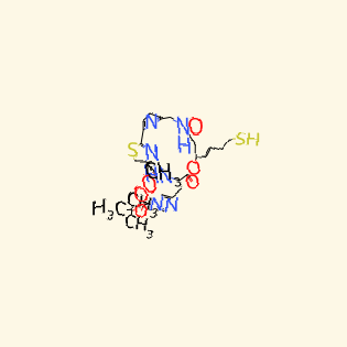 CC(C)(C)OC(=O)n1cnc(C[C@@H]2NC(=O)[C@]3(C)CSC(=N3)C3=CCC(=N3)CNC(=O)C[C@@H](/C=C/CCS)OC2=O)c1